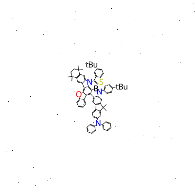 CC(C)(C)c1ccc(N2B3c4sc5ccc(C(C)(C)C)cc5c4-n4c5cc6c(cc5c5c7oc8ccccc8c7c(c3c54)-c3cc4c(cc32)C(C)(C)c2cc(N(c3ccccc3)c3ccccc3)ccc2-4)C(C)(C)CCC6(C)C)cc1